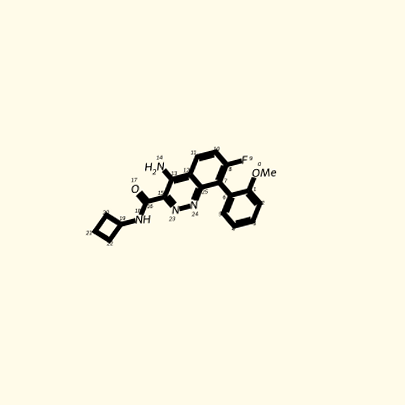 COc1ccccc1-c1c(F)ccc2c(N)c(C(=O)NC3CCC3)nnc12